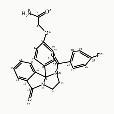 NC(=O)COc1ccc(C23c4ccccc4C(=O)N2CCN3C(=O)c2ccc(F)cc2)cc1